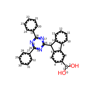 OB(O)c1ccc2c(c1)-c1ccccc1C2c1nc(-c2ccccc2)nc(-c2ccccc2)n1